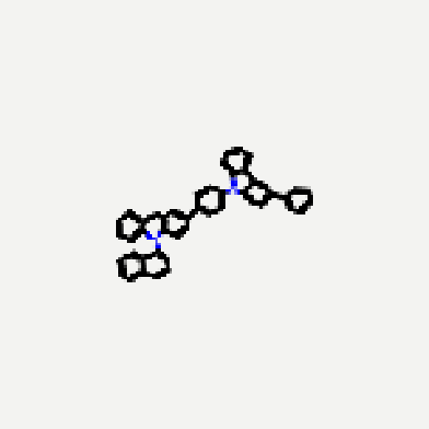 c1ccc(-c2ccc3c(c2)c2ccccc2n3-c2ccc(-c3ccc4c(c3)Cc3ccccc3N4c3cccc4ccccc34)cc2)cc1